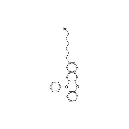 BrCCCCCCc1ccc2cc(Oc3ccccc3)c(Oc3ccccc3)cc2c1